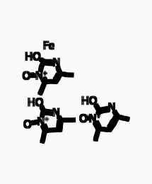 Cc1cc(C)[n+]([O-])c(O)n1.Cc1cc(C)[n+]([O-])c(O)n1.Cc1cc(C)[n+]([O-])c(O)n1.[Fe]